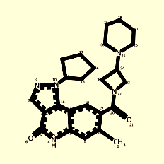 Cc1cc2[nH]c(=O)c3cnn(C4CCCC4)c3c2cc1C(=O)N1CC(N2CCCCC2)C1